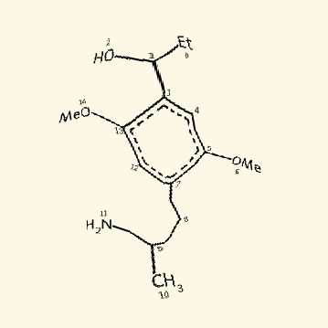 CCC(O)c1cc(OC)c(CC(C)N)cc1OC